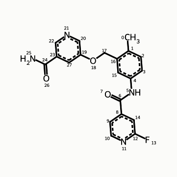 Cc1ccc(NC(=O)c2ccnc(F)c2)cc1COc1cncc(C(N)=O)c1